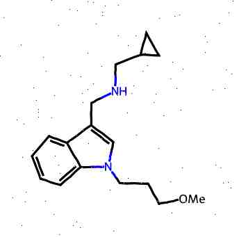 COCCCn1cc(CNCC2CC2)c2ccccc21